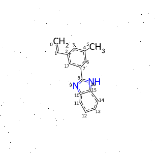 C=Cc1cc(C)cc(-c2nc3ccccc3[nH]2)c1